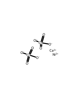 [Ca+2].[Ni+2].[O]=[Cr](=[O])([O-])[O-].[O]=[Cr](=[O])([O-])[O-]